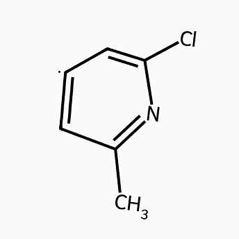 Cc1c[c]cc(Cl)n1